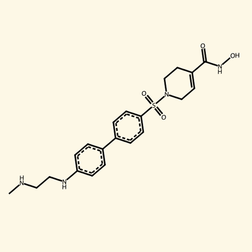 CNCCNc1ccc(-c2ccc(S(=O)(=O)N3CC=C(C(=O)NO)CC3)cc2)cc1